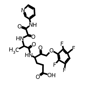 CC(NC(=O)C(=O)Nc1cccnc1)C(=O)NC(CCC(=O)O)C(=O)COc1c(F)c(F)cc(F)c1F